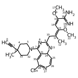 C#CC1(C)CCN(C2=NC(C/C(C)=C(\C=C(\OC)C(=N)N)OC)=NC3C=CN=C(Cl)C=C23)CC1